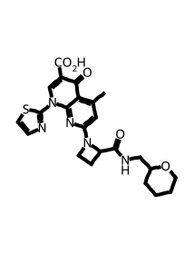 Cc1cc(N2CCC2C(=O)NCC2CCCCO2)nc2c1c(=O)c(C(=O)O)cn2-c1nccs1